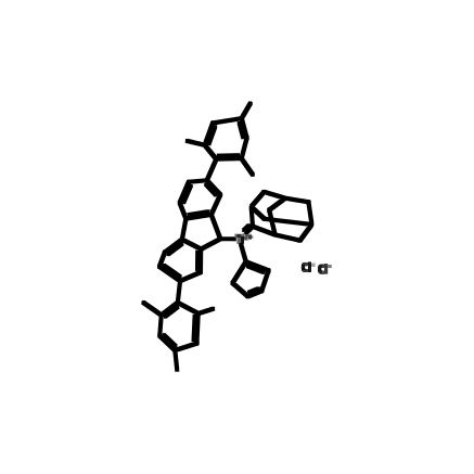 Cc1cc(C)c(-c2ccc3c(c2)[CH]([Ti+2]([C]2=CC=CC2)=[C]2C4CC5CC(C4)CC2C5)c2cc(-c4c(C)cc(C)cc4C)ccc2-3)c(C)c1.[Cl-].[Cl-]